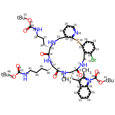 Cc1c(C[C@H]2C(=O)NCc3c(Br)cccc3Sc3ncccc3CN[C@@H](CCCNC(=O)OC(C)(C)C)C(=O)N[C@@H](CCCCNC(=O)OC(C)(C)C)C(=O)N2C)c2ccccc2n1C(=O)OC(C)(C)C